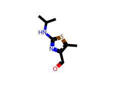 Cc1sc(NC(C)C)nc1C=O